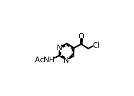 CC(=O)Nc1ncc(C(=O)CCl)cn1